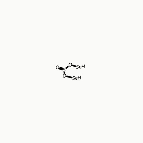 O=S(O[SeH])O[SeH]